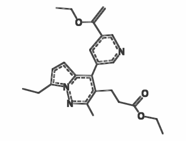 C=C(OCC)c1cncc(-c2c(CCC(=O)OCC)c(C)nn3c(CC)ccc23)c1